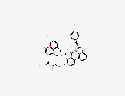 COc1ccc(CN(Cc2ccc(OC)cc2)S(=O)(=O)c2c(S(=O)(=O)CCNC(=O)O)ccc(-c3cccc4sc(C#N)nc34)c2-c2nnn(Cc3ccc(OC)cc3)n2)cc1